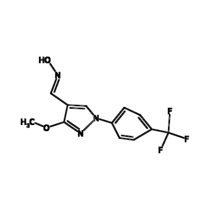 COc1nn(-c2ccc(C(F)(F)F)cc2)cc1C=NO